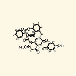 COc1cccc(CN2CC3N(C(=O)CN(C)N3C(=O)NCc3ccccc3)[C@@H](Cc3ccc(O)cc3)C2=O)c1OC